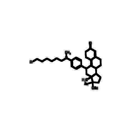 CC(=O)OC1(C(C)=O)CCC2C3CCC4=CC(=O)CCC4=C3C(c3ccc(N(C)CCCCCCBr)cc3)CC21C